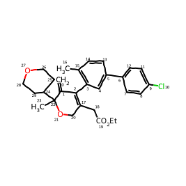 C=C1C(c2cc(-c3ccc(Cl)cc3)ccc2C)=C(CC(=O)OCC)COC1(C)C1CCOCC1